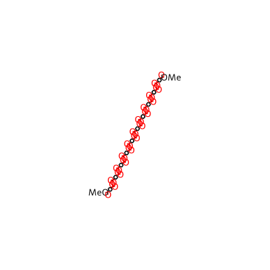 COC(=O)c1ccc(C(=O)OOC(=O)c2ccc(C(=O)OOC(=O)c3ccc(C(=O)OOC(=O)c4ccc(C(=O)OOC(=O)c5ccc(C(=O)OOC(=O)c6ccc(C(=O)OOC(=O)c7ccc(C(=O)OOC(=O)c8ccc(C(=O)OOC(=O)c9ccc(C(=O)OOC(=O)c%10ccc(C(=O)OC)cc%10)cc9)cc8)cc7)cc6)cc5)cc4)cc3)cc2)cc1